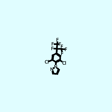 FC(F)(F)C(F)(c1cc(Cl)c(-n2cccn2)c(Cl)c1)C(F)(F)F